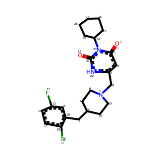 O=c1cc(CN2CCC(Cc3cc(F)ccc3Br)CC2)[nH]c(=O)n1C1CCCCC1